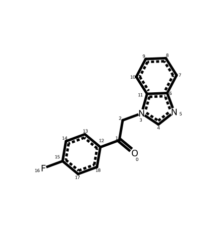 O=C(Cn1cnc2ccccc21)c1ccc(F)cc1